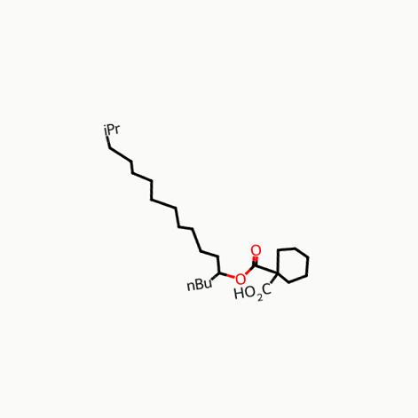 CCCCC(CCCCCCCCCCC(C)C)OC(=O)C1(C(=O)O)CCCCC1